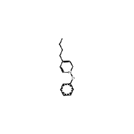 CCCCC1=CCN(Oc2ccccc2)C=C1